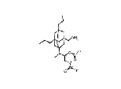 CCCC12CC3(CN)CC(CCC)(C1)CC(C(C)C(CO[N+](=O)[O-])O[N+](=O)[O-])(C3)C2